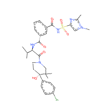 Cc1nc(S(=O)(=O)NC(=O)c2cccc(C(=O)N[C@@H](C(=O)N3CC[C@](O)(c4ccc(Cl)cc4)C(C)(C)C3)C(C)C)c2)cn1C